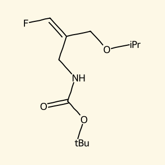 CC(C)OC/C(=C/F)CNC(=O)OC(C)(C)C